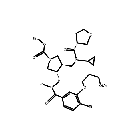 CCc1ccc(C(=O)N(C[C@@H]2CN(C(=O)OC(C)(C)C)C[C@H]2CN(C(=O)[C@@H]2CCOC2)C2CC2)C(C)C)cc1OCCCOC